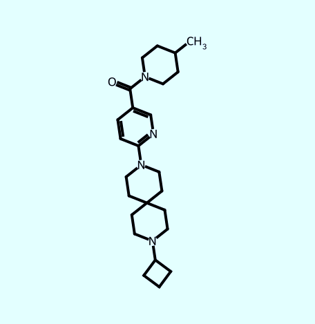 CC1CCN(C(=O)c2ccc(N3CCC4(CC3)CCN(C3CCC3)CC4)nc2)CC1